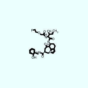 CCC(C)C(NC(=O)COCCF)C(=O)N[C@H]1CCc2ccn3c2C1C(=O)C[C@H](C(=O)NCc1ccccc1O)C3